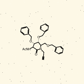 C#CCN1C(=O)C(NC(C)=O)[C@H](OCc2ccccc2)[C@H](OCc2ccccc2)C1COCc1ccccc1